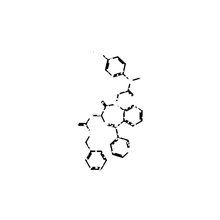 COc1ccc(N(C(=O)CN2C(=O)C(NC(=O)OCc3ccccc3)N=C(c3cccnc3)c3ccccc32)C(C)C)cc1